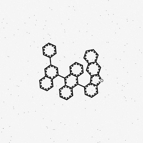 c1ccc(-c2cc(-c3c4ccccc4c(-c4cccc5oc6cc7ccccc7cc6c45)c4ccccc34)c3ccccc3c2)cc1